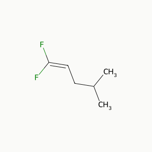 CC(C)CC=C(F)F